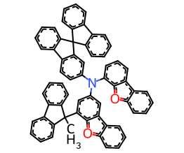 CC1(c2cc(N(c3ccc4c(c3)C3(c5ccccc5-c5ccccc53)c3ccccc3-4)c3cccc4c3oc3ccccc34)cc3c2oc2ccccc23)c2ccccc2-c2ccccc21